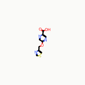 O=C(O)c1cnc(OCc2cscn2)cn1